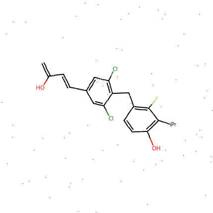 C=C(O)/C=C/c1cc(Cl)c(Cc2ccc(O)c(C(C)C)c2F)c(Cl)c1